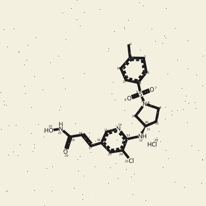 Cc1ccc(S(=O)(=O)N2CC[C@@H](Nc3ncc(C=CC(=O)NO)cc3Cl)C2)cc1.Cl